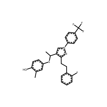 Cc1cc(SC(C)c2cn(-c3ccc(C(F)(F)F)cc3)nc2CCc2ccccc2F)ccc1O